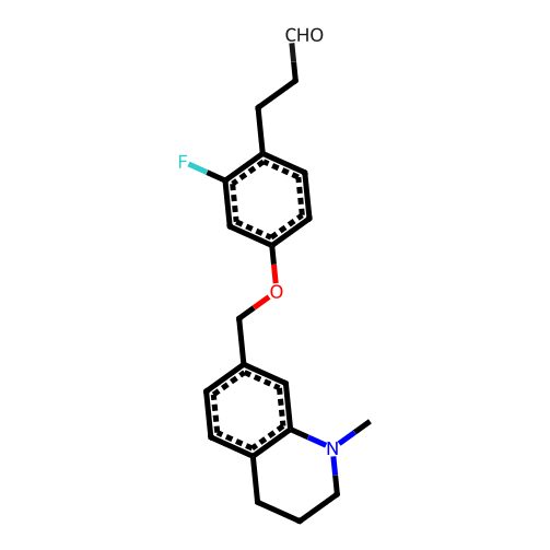 CN1CCCc2ccc(COc3ccc(CCC=O)c(F)c3)cc21